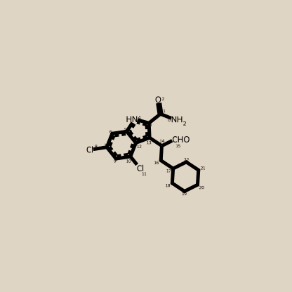 NC(=O)c1[nH]c2cc(Cl)cc(Cl)c2c1C(C=O)CC1CCCCC1